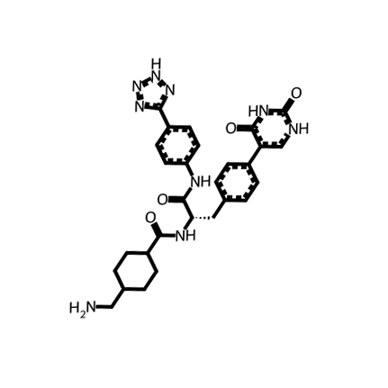 NCC1CCC(C(=O)N[C@@H](Cc2ccc(-c3c[nH]c(=O)[nH]c3=O)cc2)C(=O)Nc2ccc(-c3nn[nH]n3)cc2)CC1